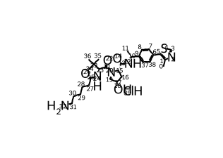 Cc1ncsc1-c1ccc([C@H](C)NC(=O)[C@@H]2C[C@@H](O)CN2C(=O)[C@@H](NC(=O)CCCCCN)C(C)(C)C)cc1.Cl